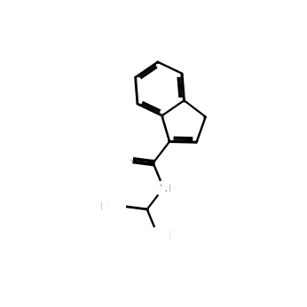 CC(C)NC(=O)C1=CCc2ccccc21